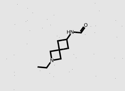 CCN1CC2(CC(NC=O)C2)C1